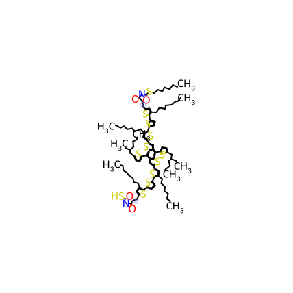 CCCCCCCCSC1=NC(=O)/C(=C/c2cc(CCCCCCCC)c(-c3ccc(-c4sc(-c5cc6c(-c7ccc(CC(CC)CCCC)s7)c7sc(-c8cc(CCCCCCCC)c(-c9ccc(-c%10sc(/C=C%11\OC(S)=NC%11=O)cc%10CCCCCCCC)s9)s8)cc7c(-c7ccc(CC(CC)CCCC)s7)c6s5)cc4CCCCCCCC)s3)s2)O1